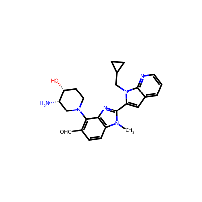 Cn1c(-c2cc3cccnc3n2CC2CC2)nc2c(N3CC[C@@H](O)[C@@H](N)C3)c(C=O)ccc21